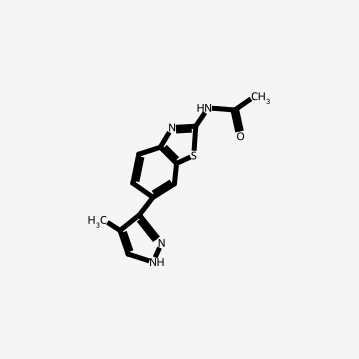 CC(=O)Nc1nc2ccc(-c3n[nH]cc3C)cc2s1